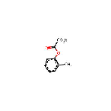 Cc1ccccc1OC(=O)C(=O)O